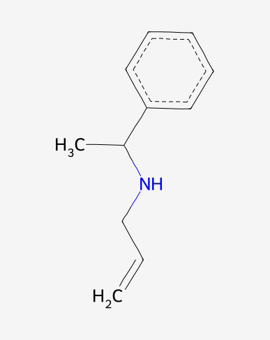 C=CCNC(C)c1ccccc1